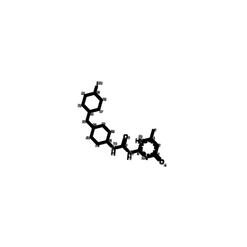 Cc1cc(=O)nc(NC(=O)NC2CCC(CC3CCC(I)CC3)CC2)[nH]1